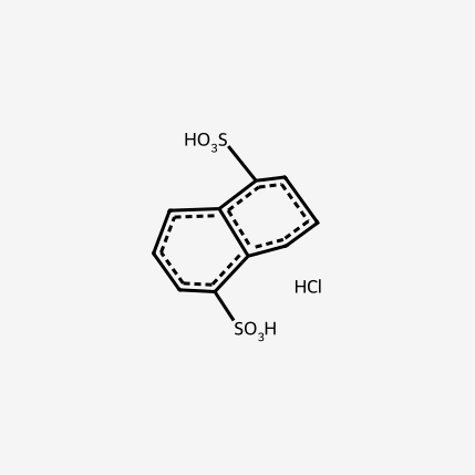 Cl.O=S(=O)(O)c1cccc2c(S(=O)(=O)O)cccc12